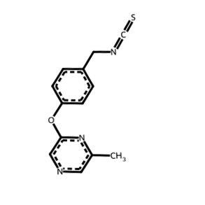 Cc1cncc(Oc2ccc(CN=C=S)cc2)n1